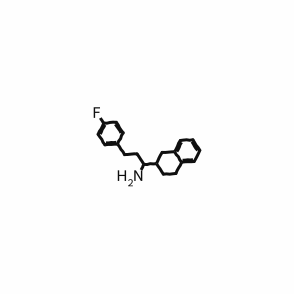 NC(CCc1ccc(F)cc1)C1CCc2ccccc2C1